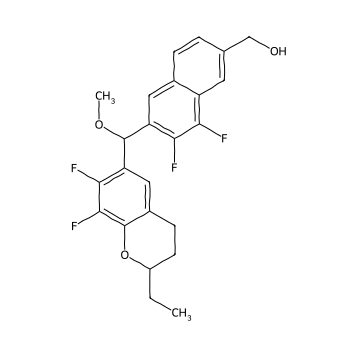 CCC1CCc2cc(C(OC)c3cc4ccc(CO)cc4c(F)c3F)c(F)c(F)c2O1